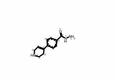 NNC(=O)c1ccc(C2=CCNCC2)cc1